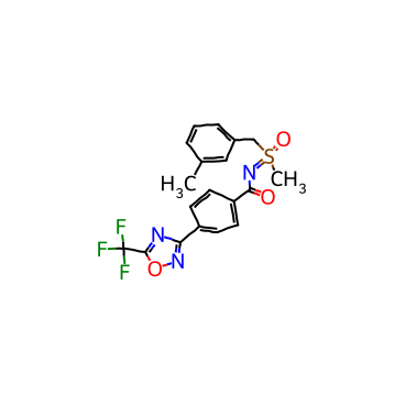 Cc1cccc(CS(C)(=O)=NC(=O)c2ccc(-c3noc(C(F)(F)F)n3)cc2)c1